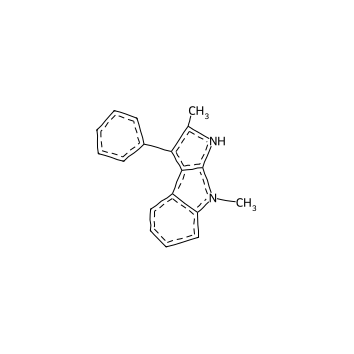 Cc1[nH]c2c(c1-c1ccccc1)c1ccccc1n2C